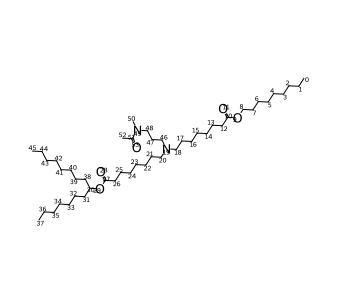 CCCCCCCCCOC(=O)CCCCCCCN(CCCCCCCC(=O)OC(CCCCCCC)CCCCCCCC)CCCN(C)C(C)=O